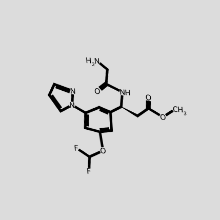 COC(=O)C[C@H](NC(=O)CN)c1cc(OC(F)F)cc(-n2cccn2)c1